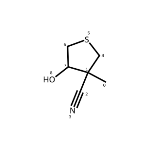 CC1(C#N)CSCC1O